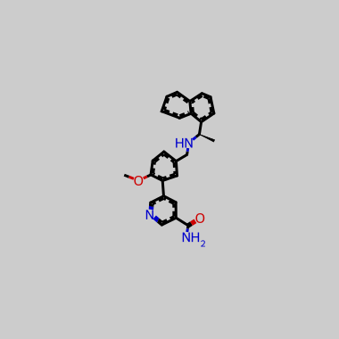 COc1ccc(CN[C@H](C)c2cccc3ccccc23)cc1-c1cncc(C(N)=O)c1